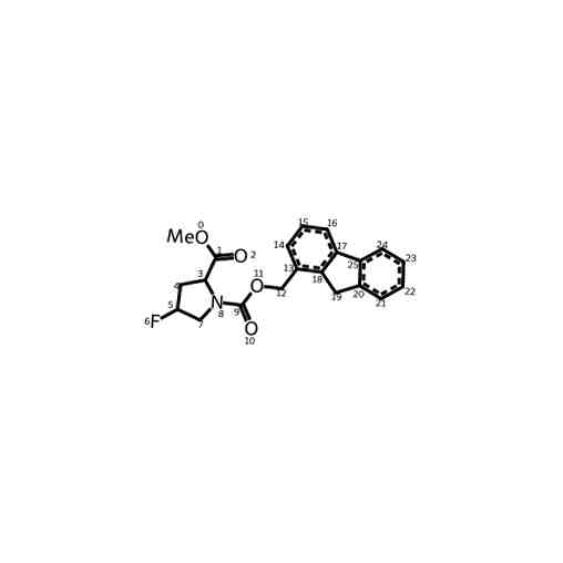 COC(=O)C1CC(F)CN1C(=O)OCc1cccc2c1Cc1ccccc1-2